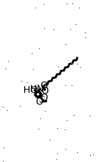 CCCCCCCCCCCCCCCCOC(=O)Nc1cc(S(=O)(=O)CC)ccc1O